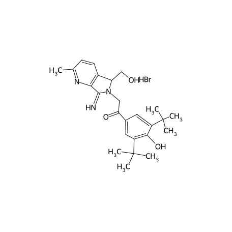 Br.Cc1ccc2c(n1)C(=N)N(CC(=O)c1cc(C(C)(C)C)c(O)c(C(C)(C)C)c1)C2CO